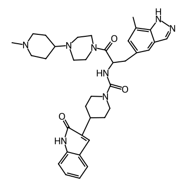 Cc1cc(CC(NC(=O)N2CCC(c3cc4ccccc4[nH]c3=O)CC2)C(=O)N2CCN(C3CCN(C)CC3)CC2)cc2cn[nH]c12